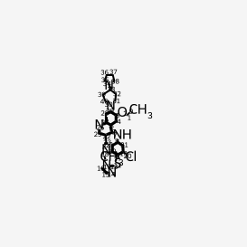 CCOc1cc2c(Nc3ccc(Sc4nccn4C)c(Cl)c3)c(C#N)cnc2cc1N1CCC(N2CCCC2)CC1